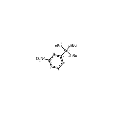 CCC[CH2][Sn]([CH2]CCC)([CH2]CCC)[c]1cccc([N+](=O)[O-])c1